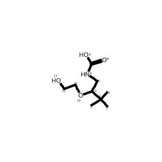 CC(C)(C)C(CNC(=O)O)OCCO